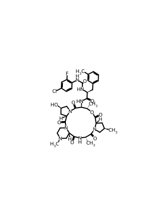 Cc1cccc(C[C@H](NC(=O)Nc2ccc(Cl)cc2F)C(=O)N[C@@H]2C(=O)N3C[C@H](O)C[C@H]3C(=O)N3CCN(C)C[C@H]3C(=O)N[C@@H](C)C(=O)N3C[C@H](C)C[C@H]3C(=O)O[C@H]2C)c1